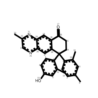 Cc1ccc(C2(c3ccc(O)cc3C)CCC(=O)c3cc4nc(C)cnc4cc32)c(C)c1